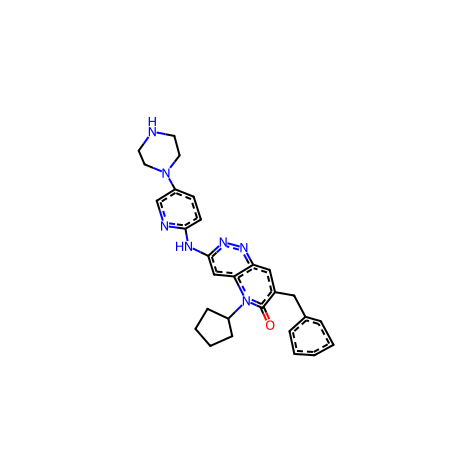 O=c1c(Cc2ccccc2)cc2nnc(Nc3ccc(N4CCNCC4)cn3)cc2n1C1CCCC1